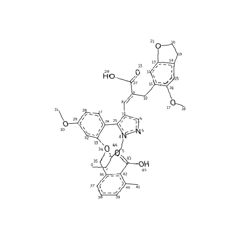 CCCCn1ncc(/C=C(\Cc2cc3c(cc2OC)CCO3)C(=O)O)c1-c1ccc(OC)cc1OCc1cccc(C)c1C(=O)O